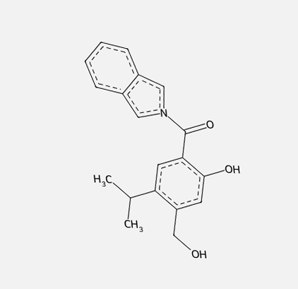 CC(C)c1cc(C(=O)n2cc3ccccc3c2)c(O)cc1CO